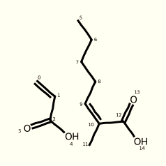 C=CC(=O)O.CCCCC=C(C)C(=O)O